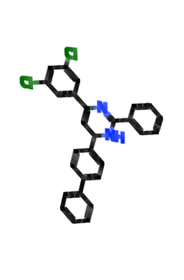 Clc1cc(Cl)cc(C2=CC(c3ccc(-c4ccccc4)cc3)NC(c3ccccc3)=N2)c1